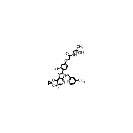 Cc1ccnc(Cn2c(-c3ccc(OCC(=O)NC[C@H](C)O)cc3Cl)nc3c(OC4(C)CC4)ncnc32)c1